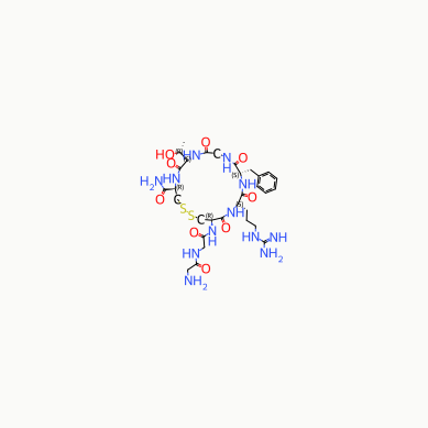 C[C@@H](O)[C@@H]1NC(=O)CNC(=O)[C@H](Cc2ccccc2)NC(=O)[C@H](CCCNC(=N)N)NC(=O)[C@@H](NC(=O)CNC(=O)CN)CSSC[C@@H](C(N)=O)NC1=O